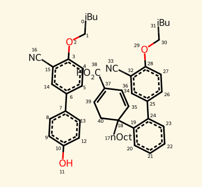 CCC(C)COc1ccc(-c2ccc(O)cc2)cc1C#N.CCCCCCCCC1(c2ccccc2-c2ccc(OCC(C)CC)c(C#N)c2)C=CC(C(=O)O)=CC1